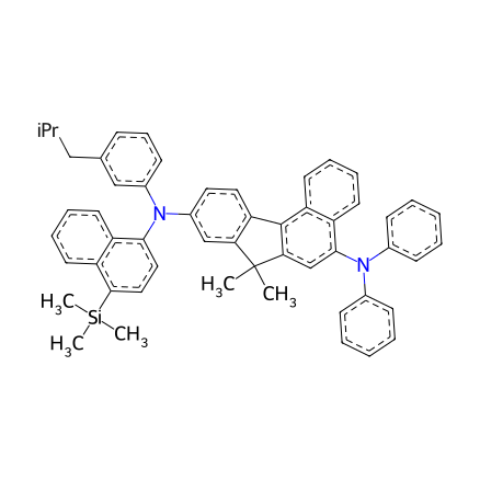 CC(C)Cc1cccc(N(c2ccc3c(c2)C(C)(C)c2cc(N(c4ccccc4)c4ccccc4)c4ccccc4c2-3)c2ccc([Si](C)(C)C)c3ccccc23)c1